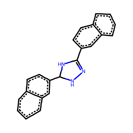 c1ccc2cc(C3=NNC(c4ccc5ccccc5c4)N3)ccc2c1